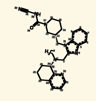 CN(Cc1nc2ccccc2n1C[C@H]1CCCN(C(=O)NC#N)C1)[C@H]1CCCc2cccnc21